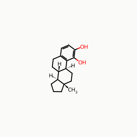 C[C@@]12CCC[C@H]1[C@@H]1CCc3c[c]c(O)c(O)c3[C@H]1CC2